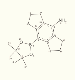 CC1(C)OB(c2c3c(c(N)c4c2CCC4)CCC3)OC1(C)C